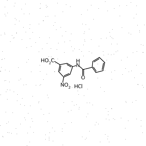 Cl.O=C(O)c1cc(NC(=O)c2ccccc2)cc([N+](=O)[O-])c1